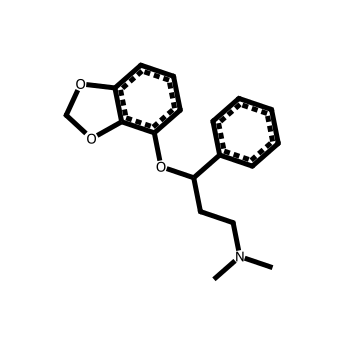 CN(C)CCC(Oc1cccc2c1OCO2)c1ccccc1